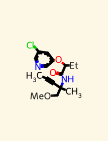 CC#CC(C)(COC)NC(=O)C(CC)Oc1cncc(Cl)c1